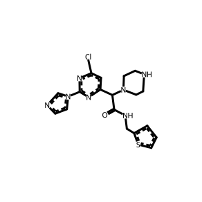 O=C(NCc1cccs1)C(c1cc(Cl)nc(-n2ccnc2)n1)N1CCNCC1